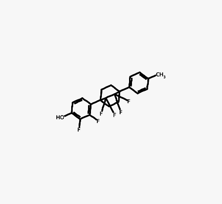 Cc1ccc(C23CCC(c4ccc(O)c(F)c4F)(CC2)C(F)(F)C3(F)F)cc1